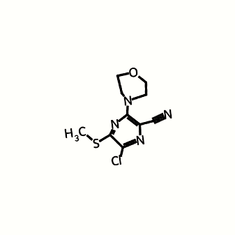 CSc1nc(N2CCOCC2)c(C#N)nc1Cl